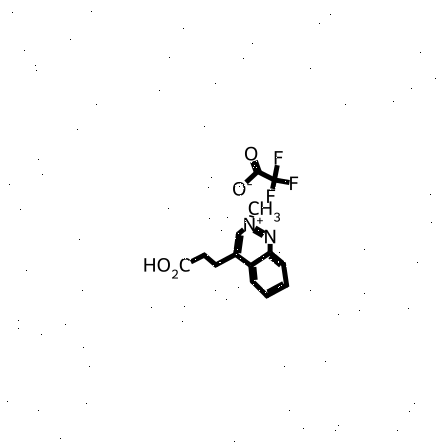 C[n+]1cc(CCC(=O)O)c2ccccc2n1.O=C([O-])C(F)(F)F